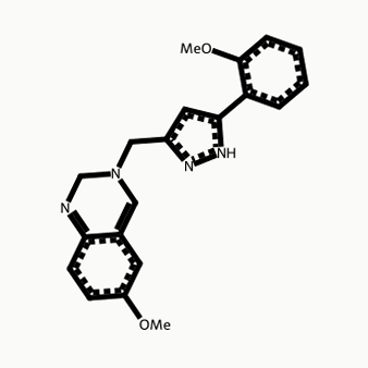 COc1ccc2c(c1)=CN(Cc1cc(-c3ccccc3OC)[nH]n1)CN=2